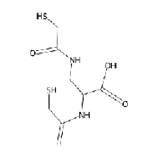 C=C(CS)NC(CNC(=O)CS)C(=O)O